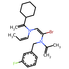 C=C(C1CCCCC1)N(/C=C\C)/C=C(/Br)N(Cc1cccc(F)c1)C(=C)C